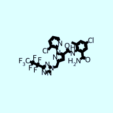 Cc1cc(Cl)cc(C(N)=O)c1NC(=O)c1cc(Cn2nnc(C(F)(F)C(F)(F)C(F)(F)F)n2)nn1-c1ncccc1Cl